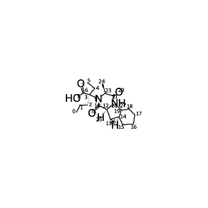 CCC[C@@](CC)(C(=O)O)N1C(=O)[C@@H]2C[C@@H]3CCCC[C@@H]3N2C(=O)[C@@H]1C